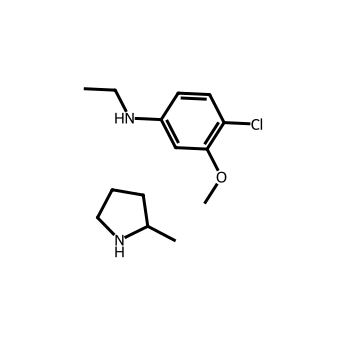 CC1CCCN1.CCNc1ccc(Cl)c(OC)c1